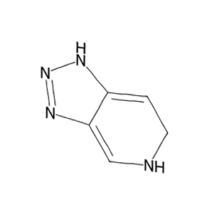 C1=c2nn[nH]c2=CCN1